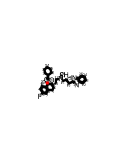 CC(C)[C@H]1c2ccc(F)cc2CC[C@@]1(CCN(C)CCCc1nc2ccccc2[nH]1)OC(=O)C1CCCCC1